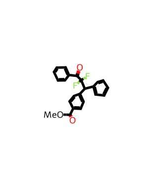 COC(=O)c1ccc(C(c2ccccc2)C(F)(F)C(=O)c2ccccc2)cc1